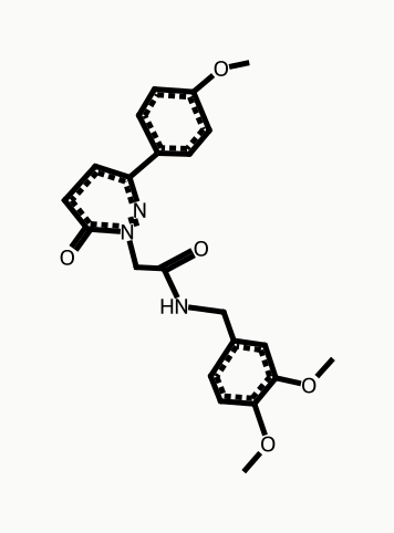 COc1ccc(-c2ccc(=O)n(CC(=O)NCc3ccc(OC)c(OC)c3)n2)cc1